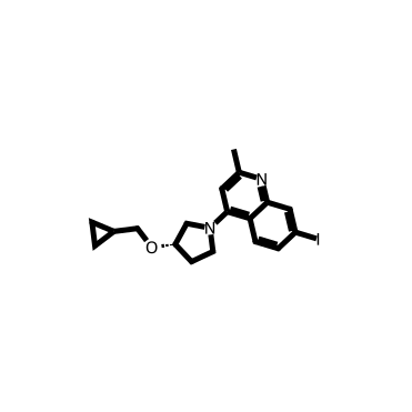 Cc1cc(N2CC[C@H](OCC3CC3)C2)c2ccc(I)cc2n1